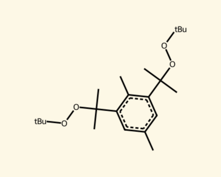 Cc1cc(C(C)(C)OOC(C)(C)C)c(C)c(C(C)(C)OOC(C)(C)C)c1